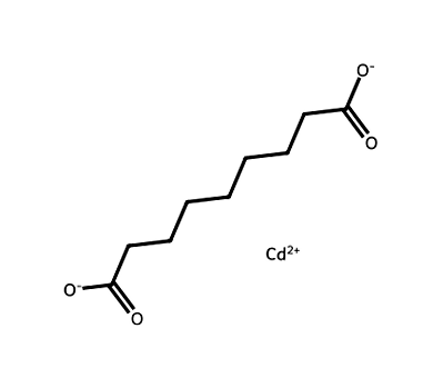 O=C([O-])CCCCCCCC(=O)[O-].[Cd+2]